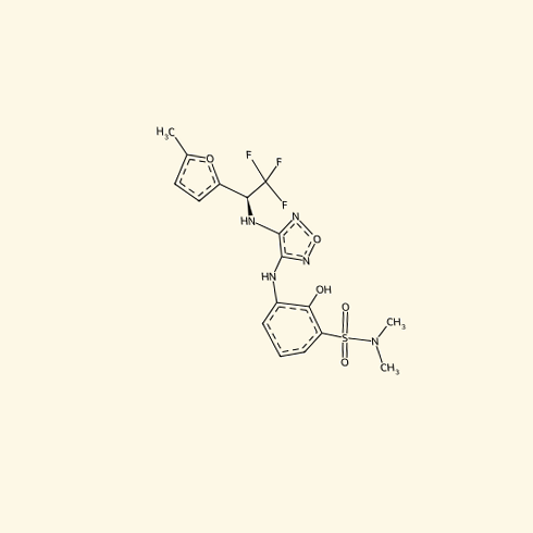 Cc1ccc([C@H](Nc2nonc2Nc2cccc(S(=O)(=O)N(C)C)c2O)C(F)(F)F)o1